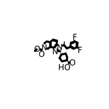 COC(=O)N1CCc2ccc3c(nc([C@H]4CC[C@H](C(=O)O)CC4)n3[C@@H](C)Cc3cc(F)cc(F)c3)c2C1